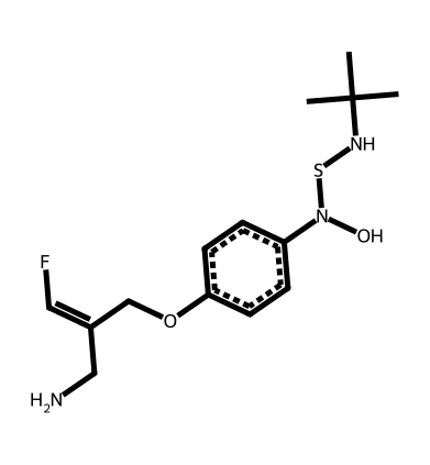 CC(C)(C)NSN(O)c1ccc(OC/C(=C\F)CN)cc1